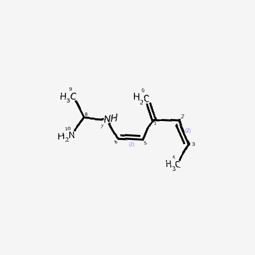 C=C(/C=C\C)/C=C\NC(C)N